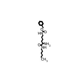 CCCCCCNC(=O)C(N)CCCCNC(=O)OCc1ccccc1